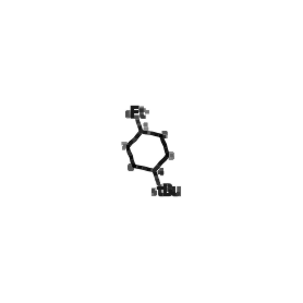 C[CH]C1CCC(C(C)(C)C)CC1